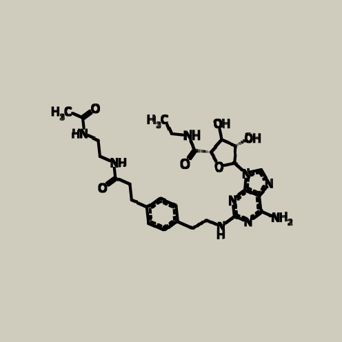 CCNC(=O)[C@H]1OC(n2cnc3c(N)nc(NCCc4ccc(CCC(=O)NCCNC(C)=O)cc4)nc32)[C@@H](O)C1O